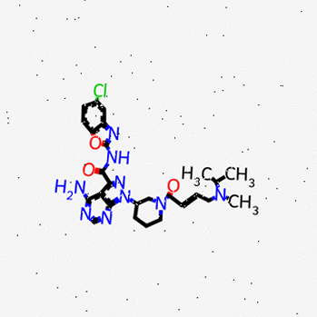 CC(C)N(C)CC=CC(=O)N1CCCC(n2nc(C(=O)Nc3nc4cc(Cl)ccc4o3)c3c(N)ncnc32)C1